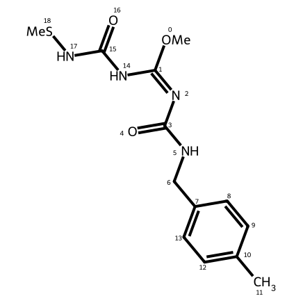 COC(=NC(=O)NCc1ccc(C)cc1)NC(=O)NSC